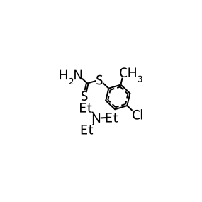 CCN(CC)CC.Cc1cc(Cl)ccc1SC(N)=S